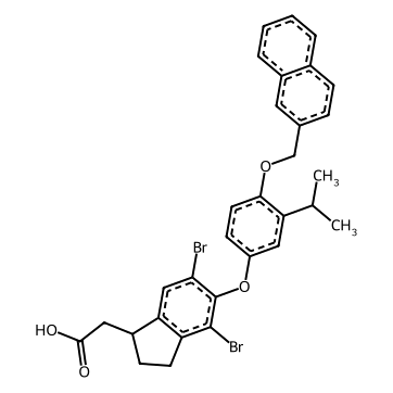 CC(C)c1cc(Oc2c(Br)cc3c(c2Br)CCC3CC(=O)O)ccc1OCc1ccc2ccccc2c1